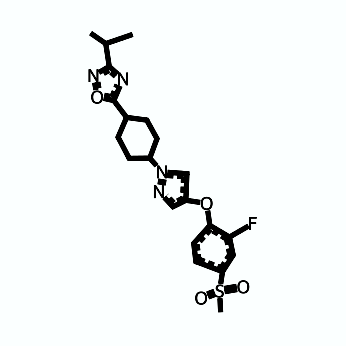 CC(C)c1noc(C2CCC(n3cc(Oc4ccc(S(C)(=O)=O)cc4F)cn3)CC2)n1